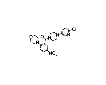 O=C(c1cc([N+](=O)[O-])ccc1N1CCOCC1)N1CCN(c2ccc(Cl)nc2)CC1